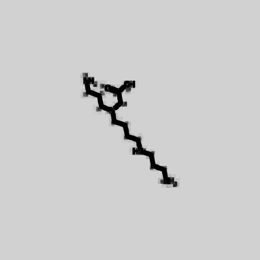 NCCCNCCCCN(CCCN)CC(=O)O